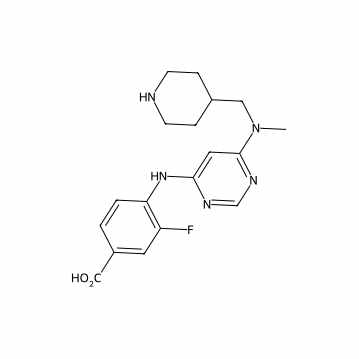 CN(CC1CCNCC1)c1cc(Nc2ccc(C(=O)O)cc2F)ncn1